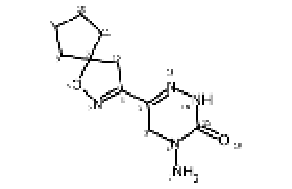 NN1CC(C2=NOC3(CCCC3)C2)=NNC1=O